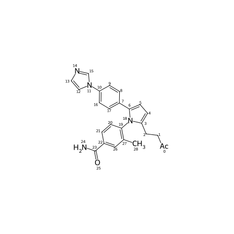 CC(=O)CCc1ccc(-c2ccc(-n3ccnc3)cc2)n1-c1ccc(C(N)=O)cc1C